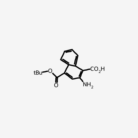 CC(C)(C)OC(=O)c1cc(N)c(C(=O)O)c2ccccc12